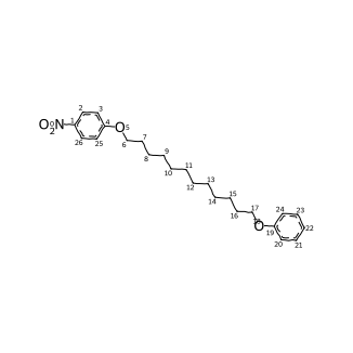 O=[N+]([O-])c1ccc(OCCCCCCCCCCCCOc2ccccc2)cc1